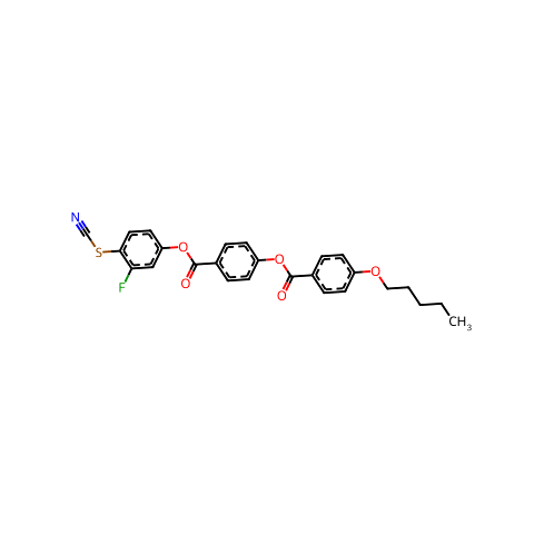 CCCCCOc1ccc(C(=O)Oc2ccc(C(=O)Oc3ccc(SC#N)c(F)c3)cc2)cc1